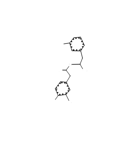 CC(Cc1cccc(O)c1)NC(C)Cc1ccc(O)c(O)c1